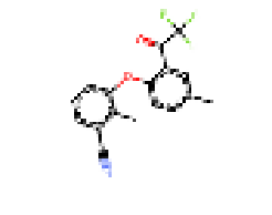 Cc1ccc(Oc2cccc(C#N)c2C)c(C(=O)C(F)(F)F)c1